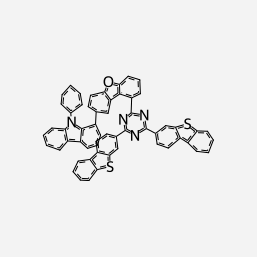 c1ccc(-n2c3ccccc3c3cccc(-c4ccc5oc6cccc(-c7nc(-c8ccc9c(c8)sc8ccccc89)nc(-c8ccc9c(c8)sc8ccccc89)n7)c6c5c4)c32)cc1